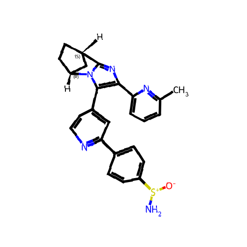 Cc1cccc(-c2nc3n(c2-c2ccnc(-c4ccc([S+](N)[O-])cc4)c2)[C@@H]2CC[C@H]3C2)n1